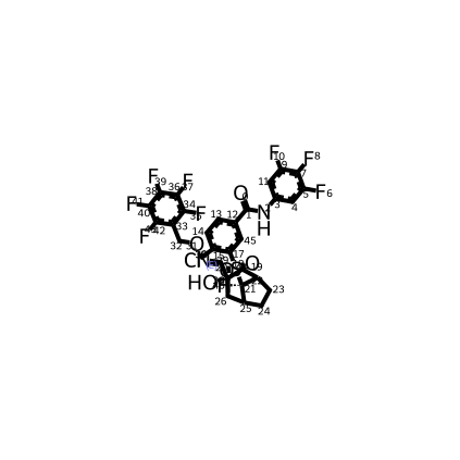 O=C(Nc1cc(F)c(F)c(F)c1)c1ccc(Cl)c(S(=O)(=O)[C@H]2C3CCC2C[C@](O)(/C=N/OCc2c(F)c(F)c(F)c(F)c2F)C3)c1